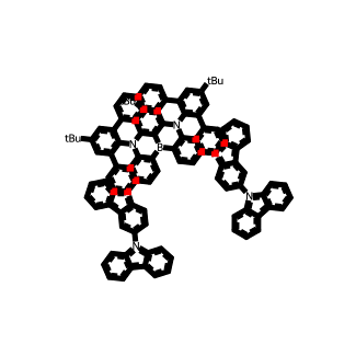 CC(C)(C)c1cc(-c2ccccc2)c(N2c3cc(-n4c5ccccc5c5cc(-n6c7ccccc7c7ccccc76)ccc54)ccc3B3c4ccc(-n5c6ccccc6c6cc(-n7c8ccccc8c8ccccc87)ccc65)cc4N(c4c(-c5ccccc5)cc(C(C)(C)C)cc4-c4ccccc4)c4cc(C(C)(C)C)cc2c43)c(-c2ccccc2)c1